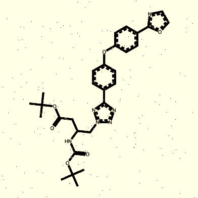 CC(C)(C)OC(=O)CC(Cn1nnc(-c2ccc(Oc3ccc(-c4ncco4)cc3)cc2)n1)NC(=O)OC(C)(C)C